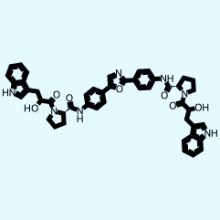 O=C(Nc1ccc(-c2cnc(-c3ccc(NC(=O)[C@@H]4CCCN4C(=O)C(O)Cc4c[nH]c5ccccc45)cc3)o2)cc1)[C@@H]1CCCN1C(=O)C(O)Cc1c[nH]c2ccccc12